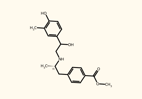 COC(=O)c1ccc(C[C@H](C)NCC(O)c2ccc(O)c(C)c2)cc1